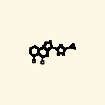 Clc1cccc2c1c(Cl)nc1c(-c3nc(C4CC4)no3)ncn12